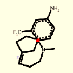 CN1CC/C=C(\Cc2ccc(N)cc2C(F)(F)F)CCC1